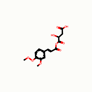 COOc1ccc(C=CC(=O)OC(=O)C(O)CC(=O)O)cc1OC